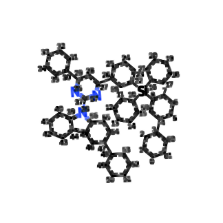 c1ccc(-c2cccc([Si](c3ccccc3)(c3ccccc3)c3cccc(-c4cc(-c5ccccc5)nc(-n5c6ccccc6c6cc(-c7ccccc7)ccc65)n4)c3)c2)cc1